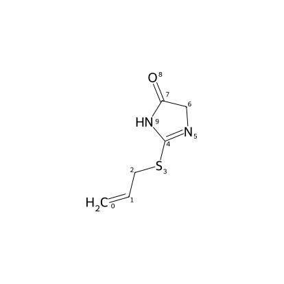 C=CCSC1=NCC(=O)N1